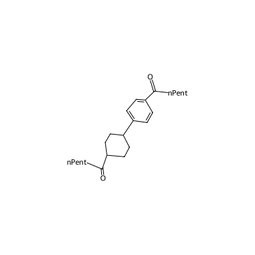 CCCCCC(=O)c1ccc(C2CCC(C(=O)CCCCC)CC2)cc1